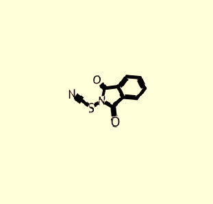 N#CSN1C(=O)c2ccccc2C1=O